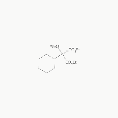 CCOC(=O)C(OC)(C(=O)OCC)C1CCCCC1